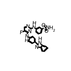 NS(=O)(=O)c1cccc(Nc2ncc(F)c(Nc3ccc(-c4nc5ccccc5[nH]4)cc3)n2)c1